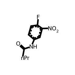 CCCC(=O)Nc1ccc(F)c([N+](=O)[O-])c1